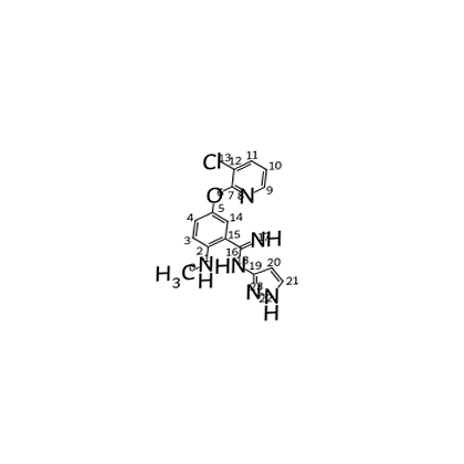 CNc1ccc(Oc2ncccc2Cl)cc1C(=N)Nc1cc[nH]n1